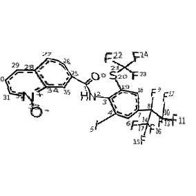 O=C(Nc1c(I)cc(C(F)(C(F)(F)F)C(F)(F)F)cc1SC(F)(F)F)c1ccc2ccc[n+]([O-])c2c1